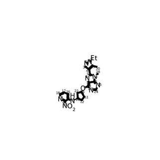 CCn1ncc(-c2nc3c(O[C@H]4CC[C@@H](Nc5cccnc5[N+](=O)[O-])C4)ncnc3n2C)c1C